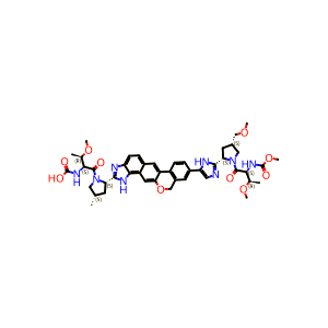 COC[C@H]1C[C@@H](c2ncc(-c3ccc4c(c3)COc3cc5c(ccc6nc([C@@H]7C[C@H](C)CN7C(=O)[C@@H](NC(=O)O)[C@@H](C)OC)[nH]c65)cc3-4)[nH]2)N(C(=O)[C@@H](NC(=O)OC)[C@@H](C)OC)C1